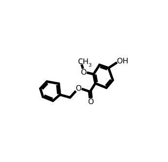 COc1cc(O)ccc1C(=O)OCc1ccccc1